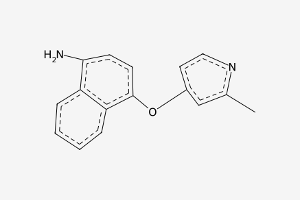 Cc1cc(Oc2ccc(N)c3ccccc23)ccn1